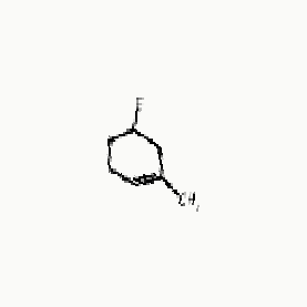 CC1=CCCC(F)C1